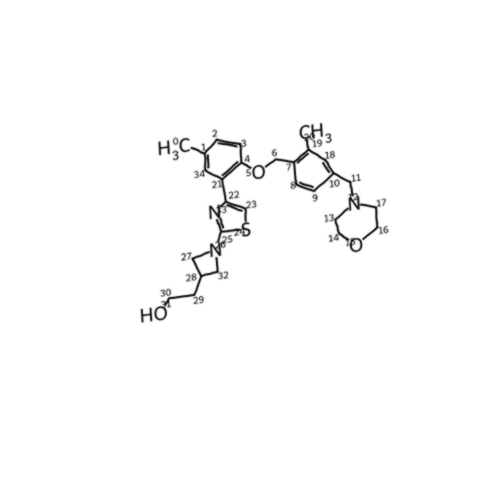 Cc1ccc(OCc2ccc(CN3CCOCC3)cc2C)c(-c2csc(N3CC(CCO)C3)n2)c1